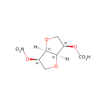 O=C(O)O[C@@H]1CO[C@H]2[C@@H]1OC[C@H]2O[N+](=O)[O-]